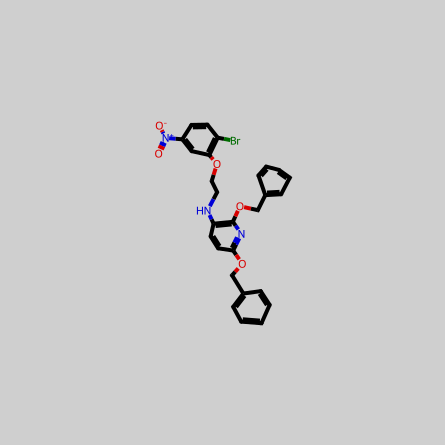 O=[N+]([O-])c1ccc(Br)c(OCCNc2ccc(OCc3ccccc3)nc2OCc2ccccc2)c1